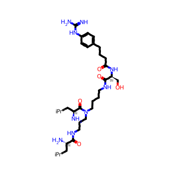 CC(C)C[C@H](N)C(=O)NCCCN(CCCCNC(=O)[C@H](CO)NC(=O)CCCc1ccc(NC(=N)N)cc1)C(=O)[C@@H](N)CC(C)C